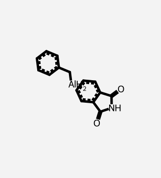 O=C1NC(=O)c2ccccc21.[AlH2][CH2]c1ccccc1